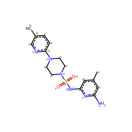 Cc1cc(N)nc(NS(=O)(=O)N2CCN(c3ccc(C#N)cn3)CC2)c1